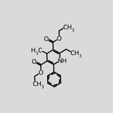 CCOC(=O)C1=C(CC)NC(c2ccccc2)=C(C(=O)OCC)C1C